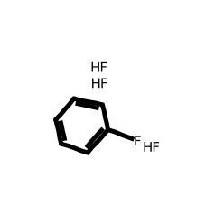 F.F.F.Fc1ccccc1